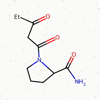 CCC(=O)CC(=O)N1CCCC1C(N)=O